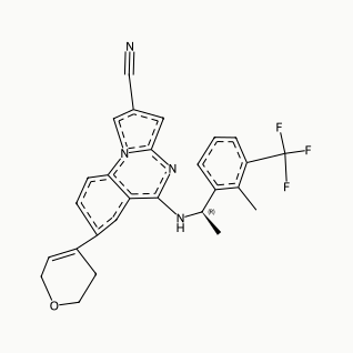 Cc1c([C@@H](C)Nc2nc3cc(C#N)cn3c3ccc(C4=CCOCC4)cc23)cccc1C(F)(F)F